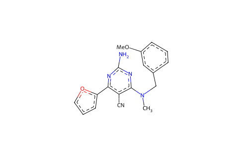 COc1cccc(CN(C)c2nc(N)nc(-c3ccco3)c2C#N)c1